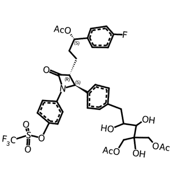 CC(=O)OCC(O)(COC(C)=O)C(O)C(O)Cc1ccc([C@@H]2[C@@H](CC[C@H](OC(C)=O)c3ccc(F)cc3)C(=O)N2c2ccc(OS(=O)(=O)C(F)(F)F)cc2)cc1